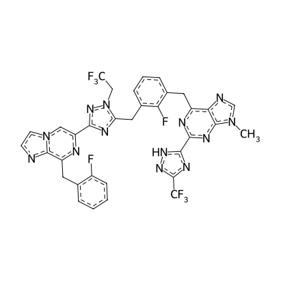 Cn1cnc2c(Cc3cccc(Cc4nc(-c5cn6ccnc6c(Cc6ccccc6F)n5)nn4CC(F)(F)F)c3F)nc(-c3nc(C(F)(F)F)n[nH]3)nc21